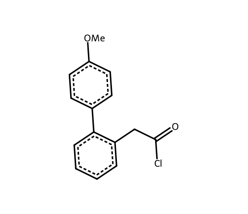 COc1ccc(-c2ccccc2CC(=O)Cl)cc1